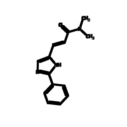 CN(C)C(=O)C=Cc1cnc(-c2ccccc2)[nH]1